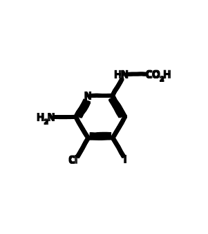 Nc1nc(NC(=O)O)cc(I)c1Cl